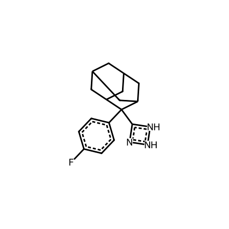 Fc1ccc(C2(c3n[nH][nH]3)C3CC4CC(C3)CC2C4)cc1